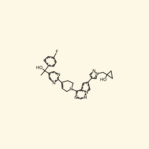 CC(O)(c1ccc(F)cc1)c1cnc(C2=CCN(c3ncnn4cc(-c5cnn(CC6(O)CC6)c5)cc34)CC2)nc1